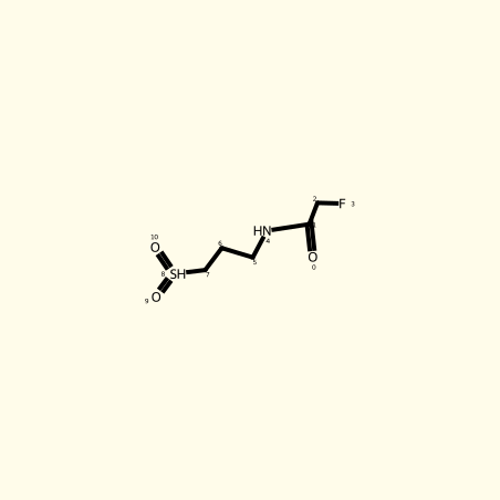 O=C(CF)NCCC[SH](=O)=O